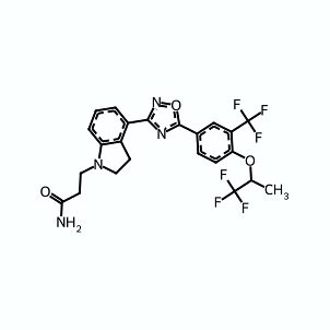 CC(Oc1ccc(-c2nc(-c3cccc4c3CCN4CCC(N)=O)no2)cc1C(F)(F)F)C(F)(F)F